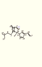 C=C/C=C\C(C)(NCCC(C)C)C1C=CC(C=C)=C1